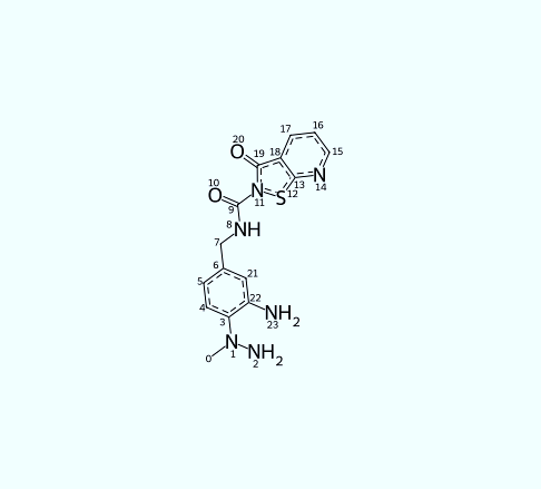 CN(N)c1ccc(CNC(=O)n2sc3ncccc3c2=O)cc1N